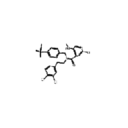 CNc1cnc(Cl)cc1C(=O)N(CCc1ccc(Cl)c(Cl)c1)Cc1ccc(C(C)(C)C)cc1